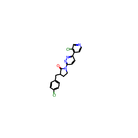 O=C1C(Cc2ccc(Cl)cc2)CCN1c1ccc(-c2ccncc2Cl)nn1